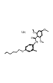 CCCCCCOc1ccc(PC(=O)c2c(OC)cc(OC)cc2OC)c(C)c1.[LiH]